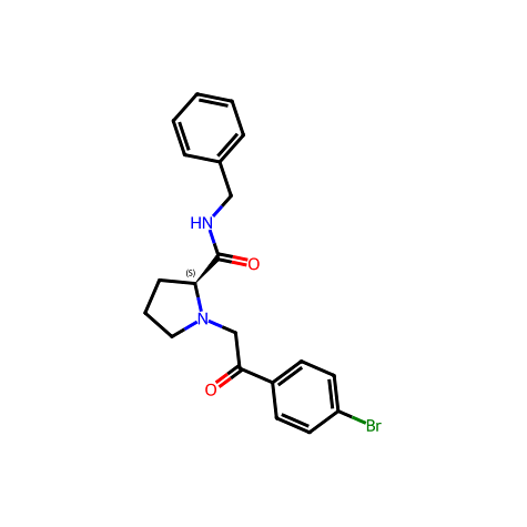 O=C(CN1CCC[C@H]1C(=O)NCc1ccccc1)c1ccc(Br)cc1